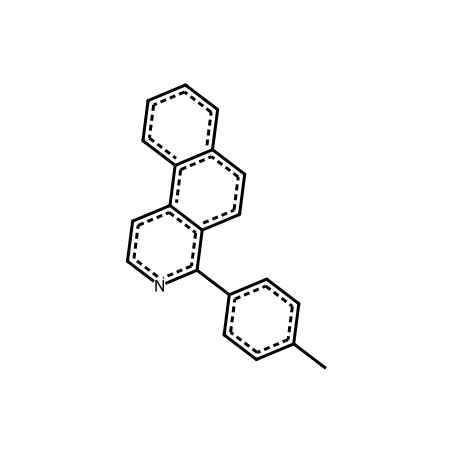 Cc1ccc(-c2nccc3c2ccc2ccccc23)cc1